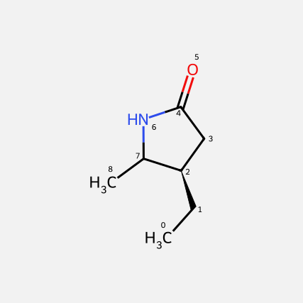 CC[C@@H]1CC(=O)NC1C